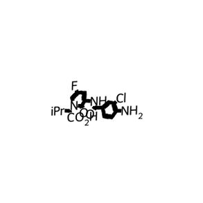 CC(C)C(C(=O)O)n1cc(F)cc(NC(=O)c2ccc(N)c(Cl)c2)c1=O